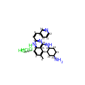 Cc1ccc2nc(/C=C\c3cccnc3)nc(NC3CCC(N)CC3)c2c1.Cl.Cl.Cl